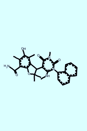 CNc1c(C2c3c(C)c(O)c(C)c(C(N)=O)c3OC2(C)C)c(=O)n(C)c(=O)n1-c1cccc2ccccc12